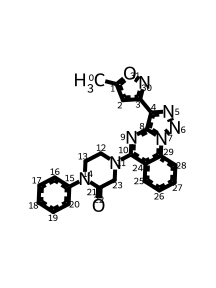 Cc1cc(-c2nnn3c2nc(N2CCN(c4ccccc4)C(=O)C2)c2ccccc23)no1